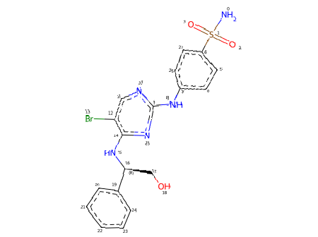 NS(=O)(=O)c1ccc(Nc2ncc(Br)c(N[C@@H](CO)c3ccccc3)n2)cc1